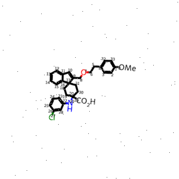 COc1ccc(CCOCC2=Cc3ccccc3C23CCC(Nc2cccc(Cl)c2)(C(=O)O)CC3)cc1